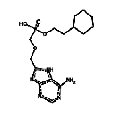 Nc1ncnc2nc(COCP(=O)(O)OCCC3CCCCC3)[nH]c12